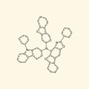 c1ccc(-c2nc3c(N(c4ccc5c(c4)sc4ccccc45)c4ccc5c6ccccc6n(-c6ccccc6)c5c4)c4oc5ccccc5c4cc3o2)cc1